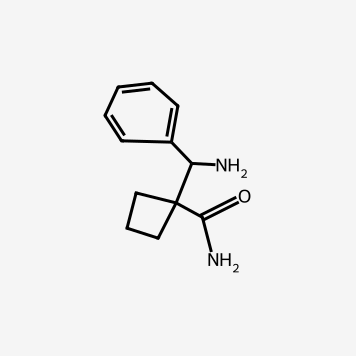 NC(=O)C1(C(N)c2ccccc2)CCC1